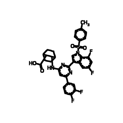 Cc1ccc(S(=O)(=O)n2cc(-c3nc(NC4C5CCC(CC5)C4C(=O)O)cc(-c4ccc(F)c(F)c4)n3)c3cc(F)cc(F)c32)cc1